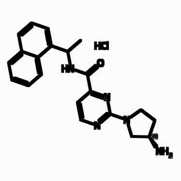 CC(NC(=O)c1ccnc(N2CC[C@@H](N)C2)n1)c1cccc2ccccc12.Cl